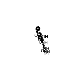 CC(C)NC(=O)NCCCNC(=O)Oc1ncc2c(=O)n(Cc3ccccc3)ccc2c1O